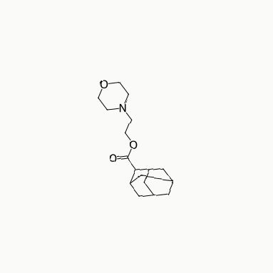 O=C(OCCN1CCOCC1)C1C2CC3CC(C2)CC1C3